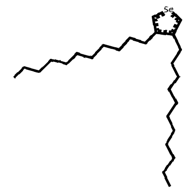 CCCCCCCCCCCc1c[se]cc1CCCCCCCCCCC